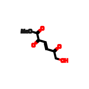 COC(=O)C(=O)/C=C/C(=O)CO